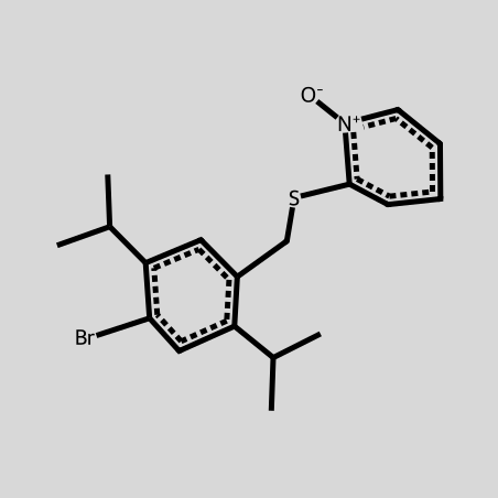 CC(C)c1cc(CSc2cccc[n+]2[O-])c(C(C)C)cc1Br